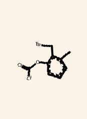 Cc1cccc(OC(=O)Cl)c1CBr